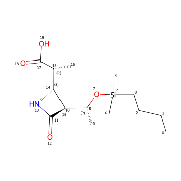 CCCC[Si](C)(C)O[C@H](C)[C@H]1C(=O)N[C@@H]1[C@@H](C)C(=O)O